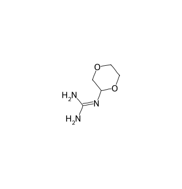 NC(N)=NC1COCCO1